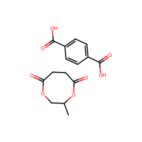 CC1COC(=O)CCC(=O)O1.O=C(O)c1ccc(C(=O)O)cc1